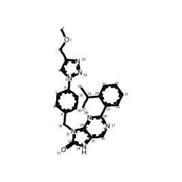 COCc1cn(-c2ccc(Cn3c(=O)[nH]c4cnc(-c5ccccc5C(C)C)nc43)cc2)nn1